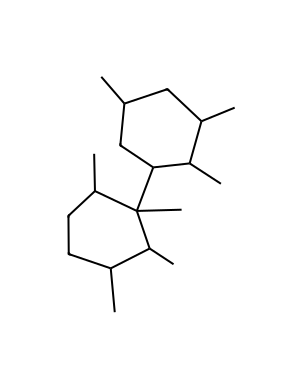 CC1CC(C)C(C)C(C2(C)C(C)CCC(C)C2C)C1